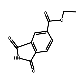 CCOC(=O)c1ccc2c(c1)C(=O)NC2=O